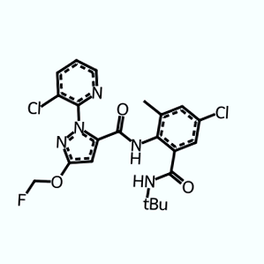 Cc1cc(Cl)cc(C(=O)NC(C)(C)C)c1NC(=O)c1cc(OCF)nn1-c1ncccc1Cl